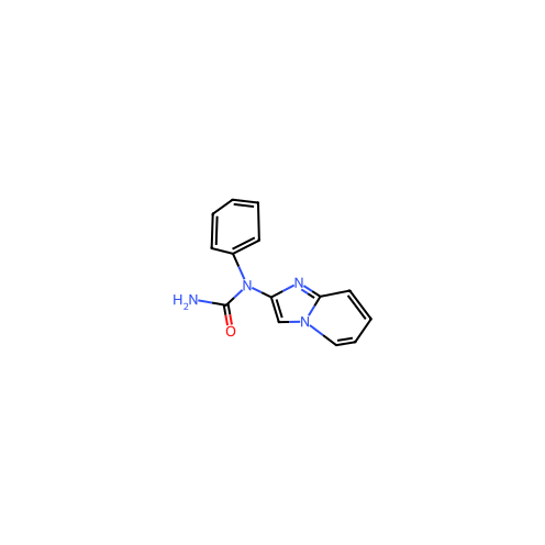 NC(=O)N(c1ccccc1)c1cn2ccccc2n1